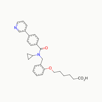 O=C(O)CCCCCOc1ccccc1CN(C(=O)c1ccc(-c2cccnc2)cc1)C1CC1